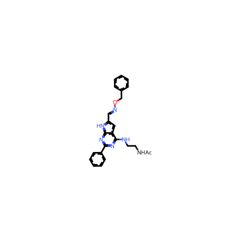 CC(=O)NCCNc1nc(-c2ccccc2)nc2[nH]c(/C=N/OCc3ccccc3)cc12